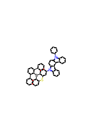 c1ccc(-c2cccc(-c3ccccc3)c2B2c3ccccc3Sc3cc(-n4c5ccccc5c5c6c7ccccc7n(-c7ccccc7)c6ccc54)ccc32)cc1